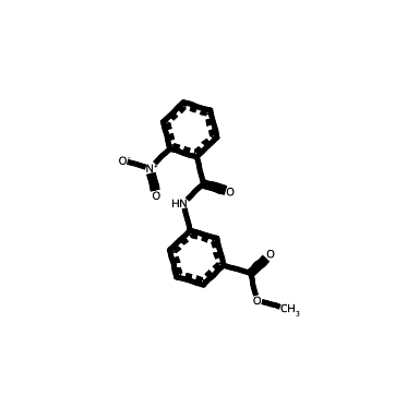 COC(=O)c1cccc(NC(=O)c2ccccc2[N+](=O)[O-])c1